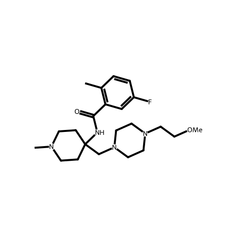 COCCN1CCN(CC2(NC(=O)c3cc(F)ccc3C)CCN(C)CC2)CC1